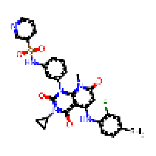 Bc1ccc(Nc2cc(=O)n(C)c3c2c(=O)n(C2CC2)c(=O)n3-c2cccc(NS(=O)(=O)c3cccnc3)c2)c(F)c1